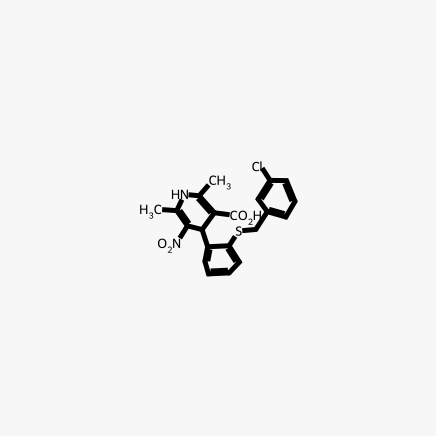 CC1=C(C(=O)O)C(c2ccccc2SCc2cccc(Cl)c2)C([N+](=O)[O-])=C(C)N1